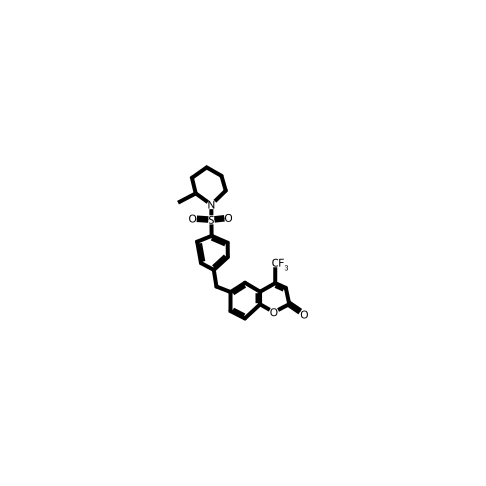 CC1CCCCN1S(=O)(=O)c1ccc(Cc2ccc3oc(=O)cc(C(F)(F)F)c3c2)cc1